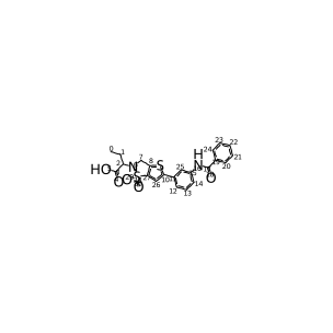 CCC(C(=O)O)N1Cc2sc(-c3cccc(NC(=O)c4ccccc4)c3)cc2S1(=O)=O